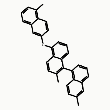 Cc1ccc2c(-c3c(C)ccc4c(Oc5ccc6c(C)cccc6c5)cccc34)cccc2c1